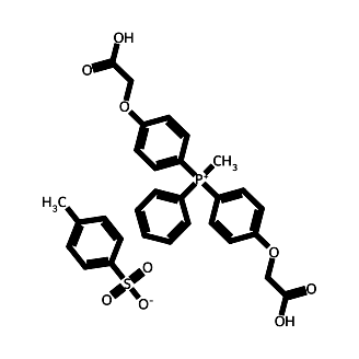 C[P+](c1ccccc1)(c1ccc(OCC(=O)O)cc1)c1ccc(OCC(=O)O)cc1.Cc1ccc(S(=O)(=O)[O-])cc1